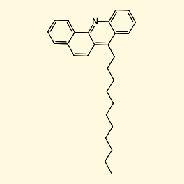 CCCCCCCCCCCc1c2ccccc2nc2c1ccc1ccccc12